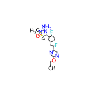 C#CCOc1cnc(/C(F)=C/c2ccc(F)c(C3N=C(N)N(C)[S+]([O-])C34CC4)c2)cn1